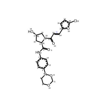 O=C(Nc1ccc(N2CCOCO2)cc1)[C@H]1C[C@@H](O)CN1C(=O)/C=C/c1ccc(Cl)o1